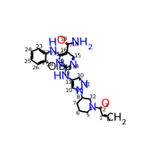 C=CC(=O)N1CCCC(n2cc(Nc3ncc(C(N)=O)c(Nc4ccccc4OCC(C)C)n3)cn2)C1